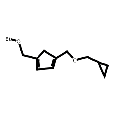 CCOCC1=CC=C(COCC2CC2)C1